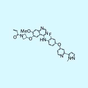 C=CC(=O)N1CC(Oc2cc3c(Nc4ccc(Oc5ccnc(-c6ccnn6C)c5)cc4F)ncnc3cc2OC)C1